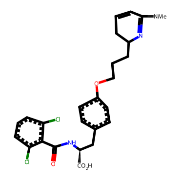 CNC1=NC(CCCOc2ccc(C[C@H](NC(=O)c3c(Cl)cccc3Cl)C(=O)O)cc2)CC=C1